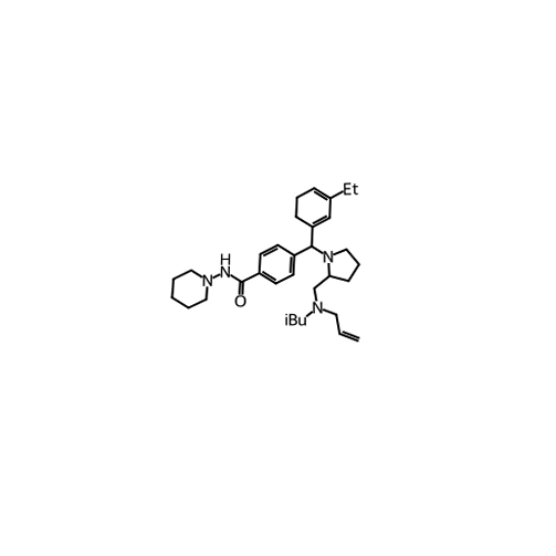 C=CCN(CC1CCCN1C(C1=CC(CC)=CCC1)c1ccc(C(=O)NN2CCCCC2)cc1)C(C)CC